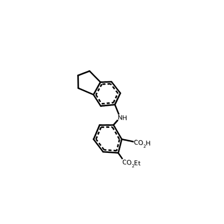 CCOC(=O)c1cccc(Nc2ccc3c(c2)CCC3)c1C(=O)O